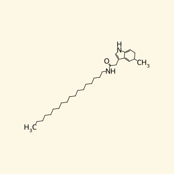 CCCCCCCCCCCCCCCCCCNC(=O)Cc1c[nH]c2c1=CC(C)CC=2